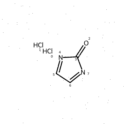 Cl.Cl.O=C1N=CC=N1